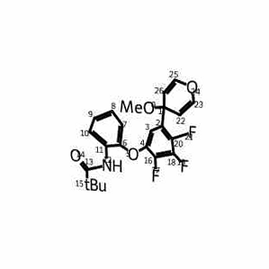 COC1(c2cc(Oc3ccccc3NC(=O)C(C)(C)C)c(F)c(F)c2F)C=COC=C1